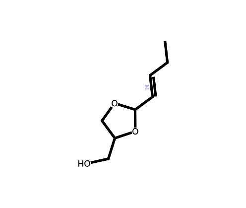 CC/C=C/C1OCC(CO)O1